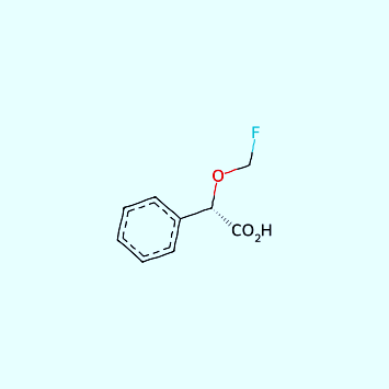 O=C(O)[C@@H](OCF)c1ccccc1